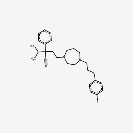 CC(C)C(C#N)(CCN1CCCN(CCOc2ccc(F)cc2)CC1)c1ccccc1